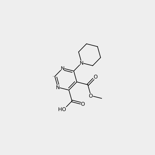 COC(=O)c1c(C(=O)O)n[c]nc1N1CCCCC1